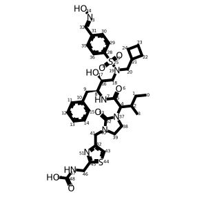 CCC(C)C(C(=O)N[C@@H](Cc1ccccc1)[C@@H](O)CN(CC1CCC1)S(=O)(=O)c1ccc(C=NO)cc1)N1CCN(Cc2csc(CNC(=O)O)n2)C1=O